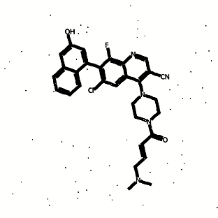 CN(C)CC=CC(=O)N1CCN(c2c(C#N)cnc3c(F)c(-c4cc(O)cc5ccccc45)c(Cl)cc23)CC1